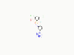 O=S(=O)(Nc1cc(-c2nn[nH]n2)ccc1F)c1cc(Cl)cc(Cl)c1O